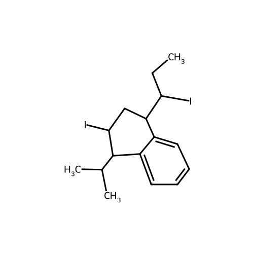 CCC(I)C1CC(I)C(C(C)C)c2ccccc21